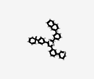 CC1(c2ccc(-c3cc(-c4cccc(-c5cccnc5)c4)nc(-c4cccc(-c5ccc6ccccc6c5)c4)n3)cc2)C=CC=CC1